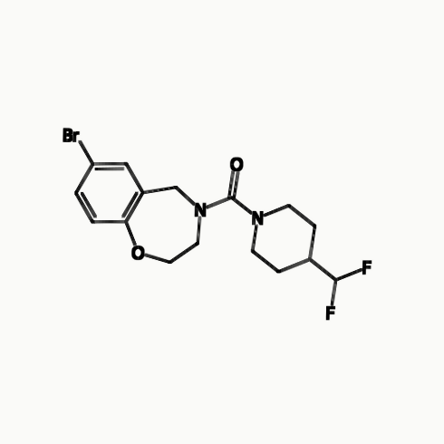 O=C(N1CCC(C(F)F)CC1)N1CCOc2ccc(Br)cc2C1